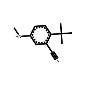 CNc1ccc(C(C)(C)C)c(C#N)c1